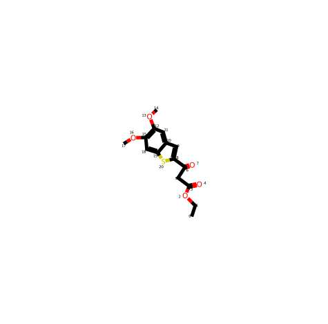 CCOC(=O)CC(=O)c1cc2cc(OC)c(OC)cc2s1